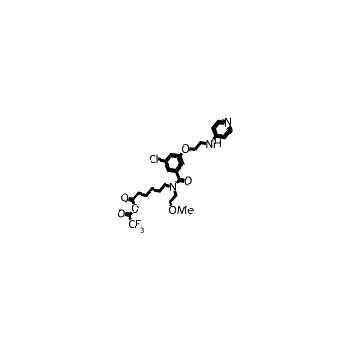 COCCN(CCCCCC(=O)OC(=O)C(F)(F)F)C(=O)c1cc(Cl)cc(OCCNc2ccncc2)c1